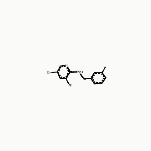 Cc1cccc(CNc2ncc(Br)cc2F)c1